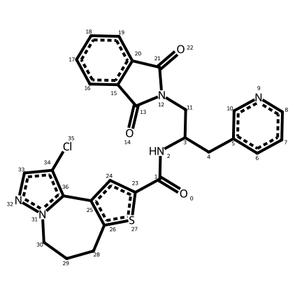 O=C(NC(Cc1cccnc1)CN1C(=O)c2ccccc2C1=O)c1cc2c(s1)CCCn1ncc(Cl)c1-2